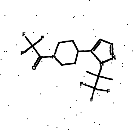 CC(C)(n1nccc1C1CCN(C(=O)C(F)(F)F)CC1)C(F)(F)F